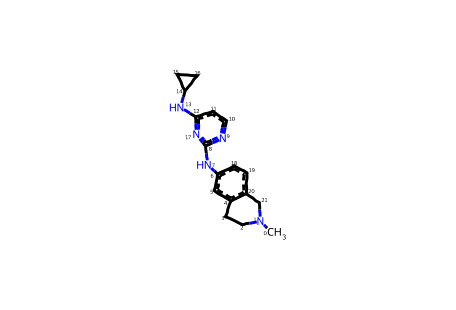 CN1CCc2cc(Nc3nccc(NC4CC4)n3)ccc2C1